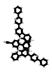 N#Cc1cc(-n2c3ccccc3c3cc(-c4ccc(-c5ccccc5)nc4)ccc32)c(-c2cc(F)cc(F)c2)c(-n2c3ccccc3c3cc(-c4ccc(-c5ccccc5)nc4)ccc32)c1